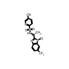 CCn1c([C@@H](C)NS(=O)(=O)c2ccc(C#N)cn2)nc2ccc(C(F)(F)F)cc21